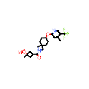 Cc1cc(OC2CCC3(CC2)CN(C(=O)C2CC(C)(O)C2)C3)ncc1C(F)(F)F